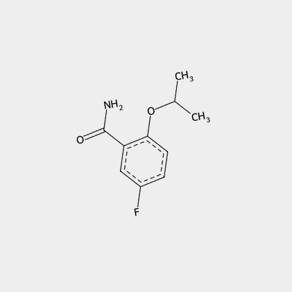 CC(C)Oc1ccc(F)cc1C(N)=O